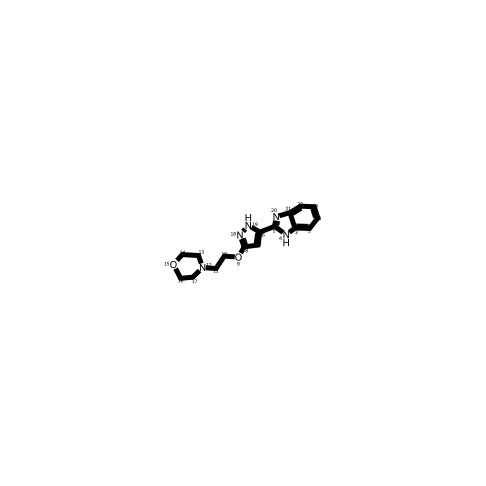 c1ccc2[nH]c(-c3cc(OCCN4CCOCC4)n[nH]3)nc2c1